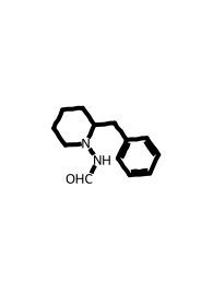 O=CNN1CCCCC1Cc1ccccc1